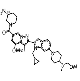 COCN(C)C1CCN(c2ccc3cc(-c4nn5cc(C(=O)N6CCC[C@@H](N)C6)cc(OC)c5c4C)n(CC4CC4)c3c2)CC1